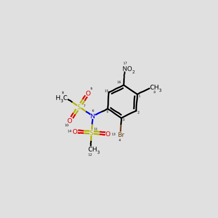 Cc1cc(Br)c(N(S(C)(=O)=O)S(C)(=O)=O)cc1[N+](=O)[O-]